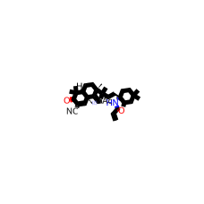 C=CC(=O)N[C@]1(CCC(C)(C)[C@]2(C)CC[C@H]3C(C)(C)C(=O)C(C#N)=C[C@]3(C)/C2=C/C(C)=O)CCC(C)(C)CC1C